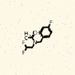 C=C(C)N(Cc1ccc(F)cc1)CC(F)F